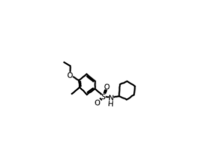 CCOc1ccc(S(=O)(=O)NC2CCCCC2)cc1C